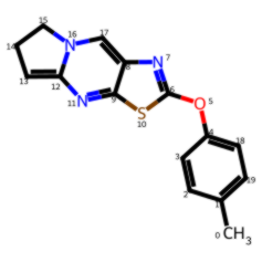 Cc1ccc(Oc2nc3c(s2)=NC2=CCCN2C=3)cc1